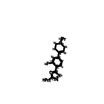 CCCc1nnc(-c2ccc(C3=CCN(C(C)C)CC3)cc2F)o1